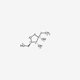 CC[C@]1(O)[CH]O[C@H](CO)[C@H]1O